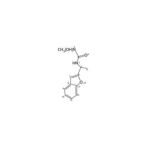 CC(NC(=O)N(C)O)c1cc2ccccc2o1